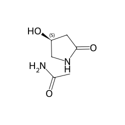 CC(N)=O.O=C1C[C@H](O)CN1